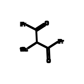 CC(C)C(=O)C(C(=O)C(C)C)C(C)(C)C